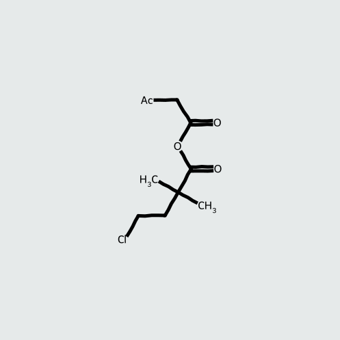 CC(=O)CC(=O)OC(=O)C(C)(C)CCCl